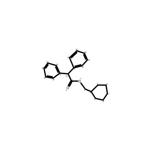 O=C(OCC1CCCCC1)C(c1ccccc1)c1ccccc1